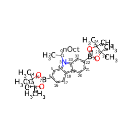 CCCCCCCCC(C)n1c2cc(B3OC(C)(C)C(C)(C)O3)ccc2c2ccc(B3OC(C)(C)C(C)(C)O3)cc21